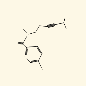 CC(O)C#CCCN(C)C(=O)c1ccc(C(C)C)cn1